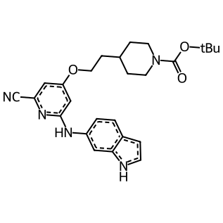 CC(C)(C)OC(=O)N1CCC(CCOc2cc(C#N)nc(Nc3ccc4cc[nH]c4c3)c2)CC1